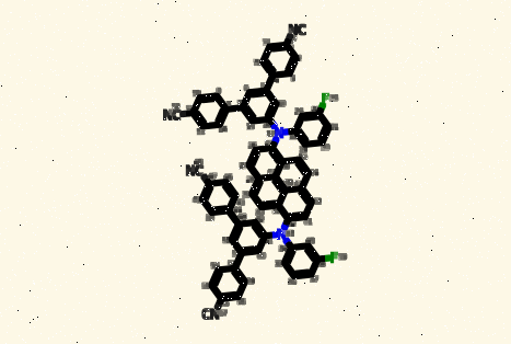 [C-]#[N+]c1ccc(-c2cc(-c3ccc(C#N)cc3)cc(N(c3cccc(F)c3)c3ccc4ccc5c(N(c6cccc(F)c6)c6cc(-c7ccc(C#N)cc7)cc(-c7ccc([N+]#[C-])cc7)c6)ccc6ccc3c4c65)c2)cc1